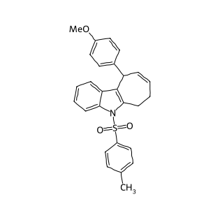 COc1ccc(C2C=CCCc3c2c2ccccc2n3S(=O)(=O)c2ccc(C)cc2)cc1